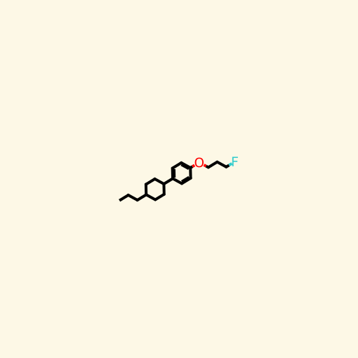 CCCC1CCC(c2ccc(OCCCF)cc2)CC1